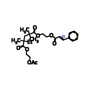 CCC(C)(CC(C)(C)C(=O)OCCOC(=O)/C=C/c1ccccc1)C(=O)OCCOC(C)=O